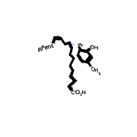 CCCCC/C=C\C/C=C\CCCCCCCC(=O)O.Cc1ccc(C(C)C)c(O)c1